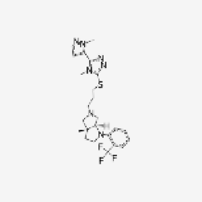 Cn1nccc1-c1nnc(SCCCN2C[C@@H]3N(c4ccccc4C(F)(F)F)CC[C@]3(C)C2)n1C